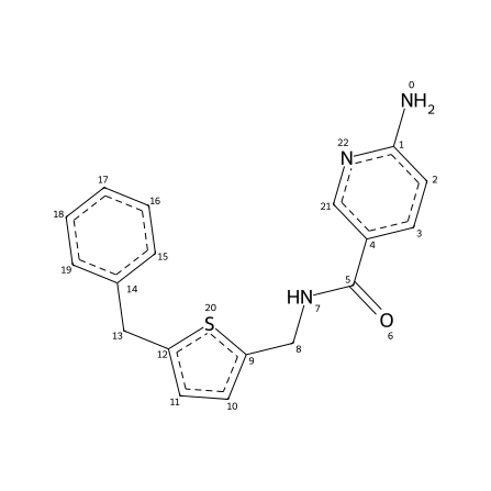 Nc1ccc(C(=O)NCc2ccc(Cc3ccccc3)s2)cn1